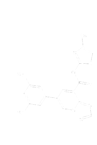 Cc1cc(C)cc(-c2cc(C(=O)Nc3nc(C)cs3)c3ncnn3c2)c1